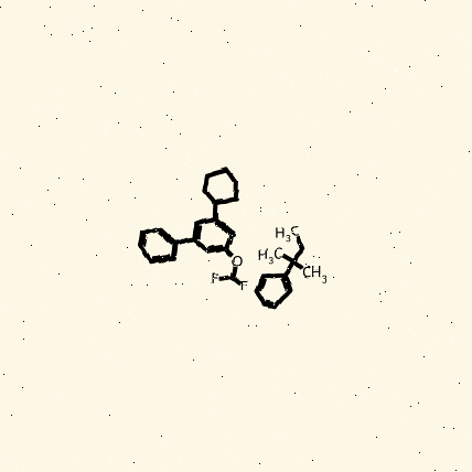 CCC(C)(C)c1ccccc1.FC(F)Oc1cc(-c2ccccc2)cc(C2CCCCC2)c1